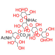 CC(=O)N[C@H]1[C@H](O[C@H]2[C@@H](O)[C@@H](CO)O[C@@H](O[C@H]3[C@H](O)[C@@H](O)[C@H](O)O[C@@H]3CO)[C@@H]2O)O[C@H](CO[C@]2(C(=O)O)C[C@H](O)[C@@H](NC(C)=O)[C@H]([C@H](O)[C@H](O)CO)O2)[C@@H](O)[C@@H]1O[C@@H]1O[C@H](CO)[C@H](O)[C@H](O)[C@H]1O